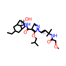 CCC1CC2C[C@H](O)CC(C1)[C@@H]2NC(=O)c1cnn(/C=C/C(C)(C)NC(=O)COC)c1OCC(C)C